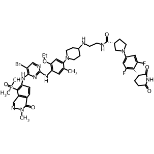 CCOc1cc(N2CCC(NCCNC(=O)[C@@H]3CCN(c4cc(F)c([C@H]5CCC(=O)NC5=O)c(F)c4)C3)CC2)c(C)cc1Nc1ncc(Br)c(Nc2ccc3c(=O)n(C)ncc3c2P(C)(C)=O)n1